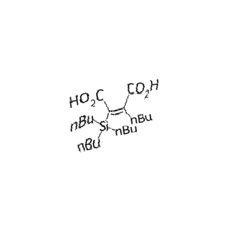 CCCCC(C(=O)O)=C(C(=O)O)[Si](CCCC)(CCCC)CCCC